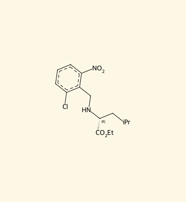 CCOC(=O)[C@@H](CC(C)C)NCc1c(Cl)cccc1[N+](=O)[O-]